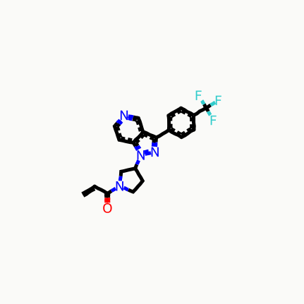 C=CC(=O)N1CCC(n2nc(-c3ccc(C(F)(F)F)cc3)c3cnccc32)C1